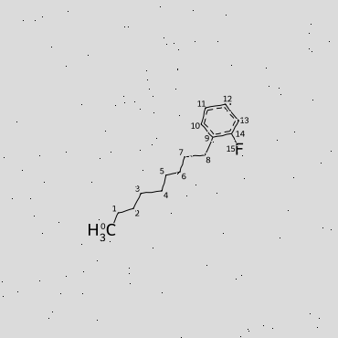 CCCCCCCCCc1cc[c]cc1F